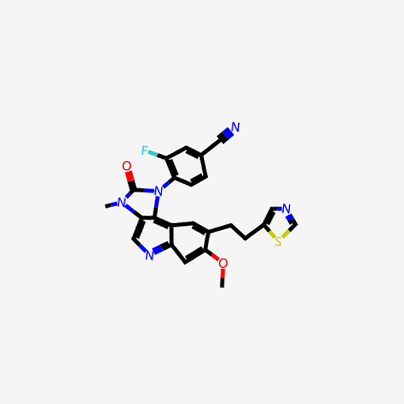 COc1cc2ncc3c(c2cc1CCc1cncs1)n(-c1ccc(C#N)cc1F)c(=O)n3C